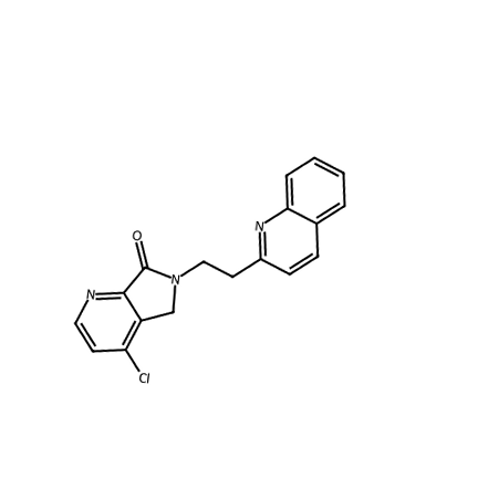 O=C1c2nccc(Cl)c2CN1CCc1ccc2ccccc2n1